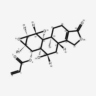 C=CC(=O)O[C@@H]1[C@@]2(C(C)C)O[C@H]2[C@@H]2O[C@]23[C@]12O[C@H]2C[C@H]1C2=C(CC[C@@]13C)C(=O)OC2